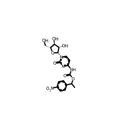 CC(OC(=O)Nc1ccn([C@@H]2O[C@H](CO)[C@@H](O)[C@@H]2O)c(=O)n1)c1ccc([N+](=O)[O-])cc1